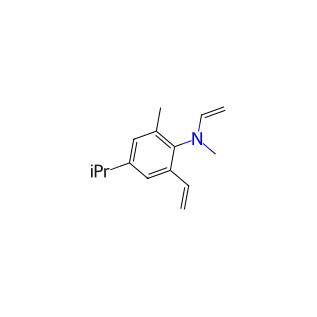 C=Cc1cc(C(C)C)cc(C)c1N(C)C=C